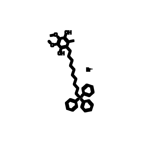 COc1c(O)c(C)c(CCCCCCCCCC[P+](c2ccccc2)(c2ccccc2)c2ccccc2)c(O)c1OC.[Br-]